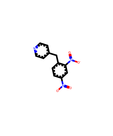 O=[N+]([O-])c1ccc(Cc2ccncc2)c([N+](=O)[O-])c1